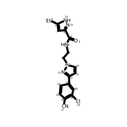 CCc1cc(C(=O)NCCn2ccc(-c3ccc(C#N)c(Cl)c3)n2)n[nH]1